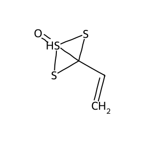 C=CC12S[SH]1(=O)S2